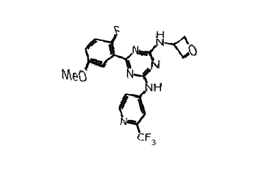 COc1ccc(F)c(-c2nc(Nc3ccnc(C(F)(F)F)c3)nc(NC3COC3)n2)c1